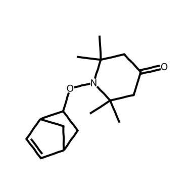 CC1(C)CC(=O)CC(C)(C)N1OC1CC2C=CC1C2